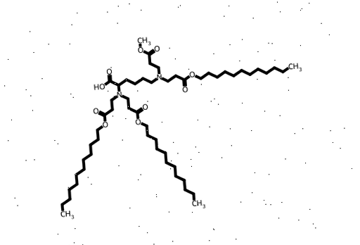 CCCCCCCCCCCCOC(=O)CCN(CCCCC(C(=O)O)N(CCC(=O)OCCCCCCCCCCCC)CCC(=O)OCCCCCCCCCCCC)CCC(=O)OC